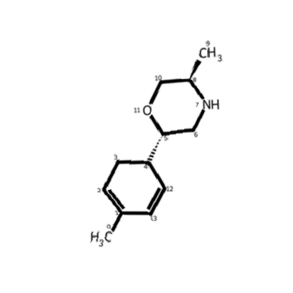 CC1=CCC([C@H]2CN[C@H](C)CO2)C=C1